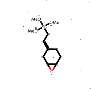 CO[Si](CC=C1CCC2OC2C1)(OC)OC